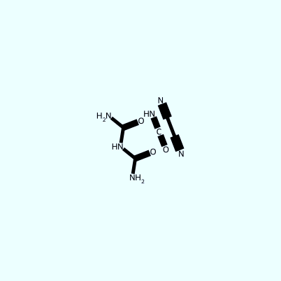 N#CC#N.N=C=O.NC(=O)NC(N)=O